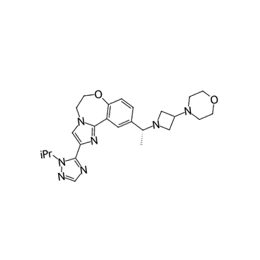 CC(C)n1ncnc1-c1cn2c(n1)-c1cc([C@@H](C)N3CC(N4CCOCC4)C3)ccc1OCC2